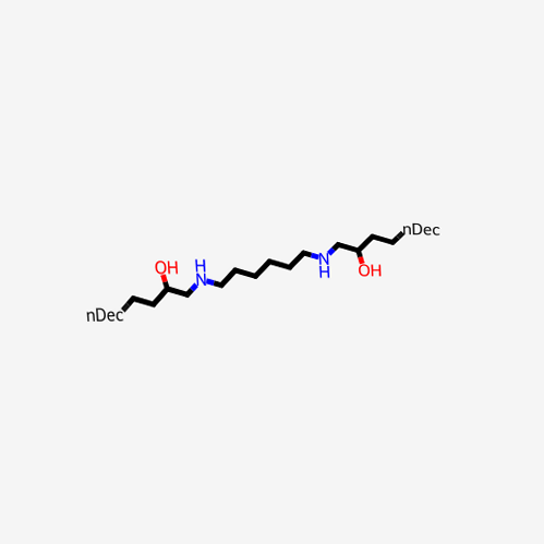 CCCCCCCCCCCCC(O)CNCCCCCCNCC(O)CCCCCCCCCCCC